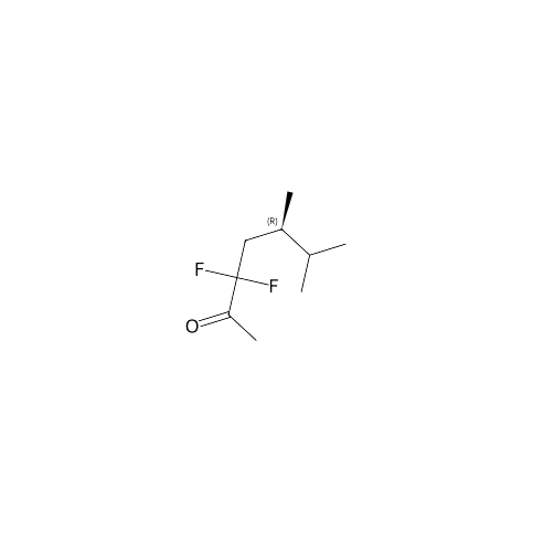 CC(=O)C(F)(F)C[C@@H](C)C(C)C